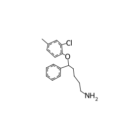 Cc1ccc(OC(CCCCN)c2ccccc2)c(Cl)c1